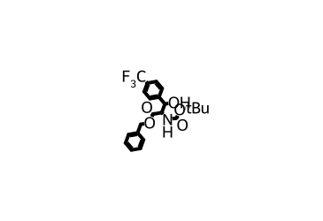 CC(C)(C)OC(=O)NC(C(=O)OCc1ccccc1)C(O)c1ccc(C(F)(F)F)cc1